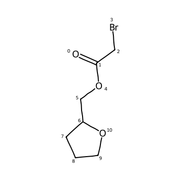 O=C(CBr)OCC1CCCO1